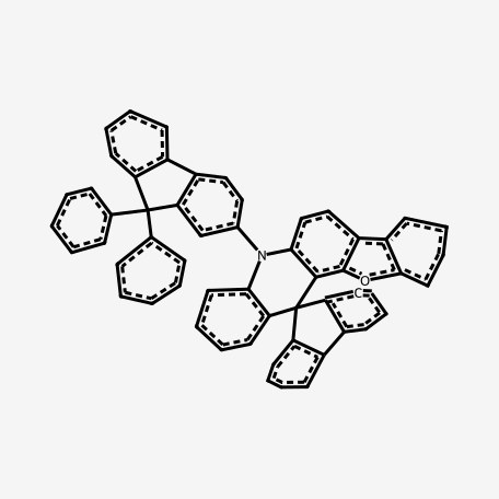 c1ccc(C2(c3ccccc3)c3ccccc3-c3ccc(N4c5ccccc5C5(c6ccccc6-c6ccccc65)c5c4ccc4c5oc5ccccc54)cc32)cc1